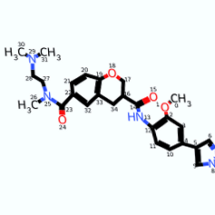 COc1cc(-c2cn[nH]c2)ccc1NC(=O)C1COc2ccc(C(=O)N(C)CCN(C)C)cc2C1